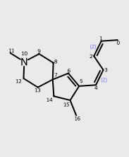 C/C=C\C=C/C1=CC2(CCN(C)CC2)CC1C